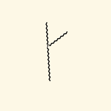 CCCCCCCCCCCCCCCCCCP(CCCCCCCCCCCC)CCCCCCCCCCCC